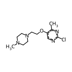 Cc1nc(Cl)ncc1OCCN1CCN(C)CC1